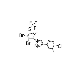 Cc1cc(-c2cnn(-c3c(Br)c(Br)c(SC(F)(F)F)n3C)c2)ccc1Cl